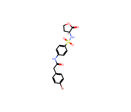 O=C(Cc1ccc(Br)cc1)Nc1ccc(S(=O)(=O)N[C@H]2CCOC2=O)cc1